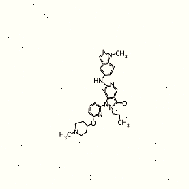 CCCn1c(=O)c2cnc(Nc3ccc4c(cnn4C)c3)nc2n1-c1cccc(OC2CCN(C)CC2)n1